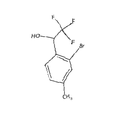 Cc1ccc(C(O)C(F)(F)F)c(Br)c1